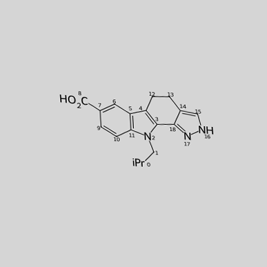 CC(C)Cn1c2c(c3cc(C(=O)O)ccc31)CCc1c[nH]nc1-2